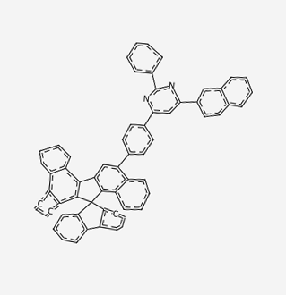 c1ccc(-c2nc(-c3ccc(-c4cc5c(c6ccccc46)C4(c6ccccc6-c6ccccc64)c4c-5c5ccccc5c5ccccc45)cc3)cc(-c3ccc4ccccc4c3)n2)cc1